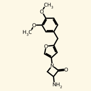 COc1ccc(Cc2cc(N3CC(N)C3=O)co2)cc1OC